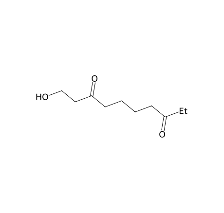 CCC(=O)CCCCC(=O)CCO